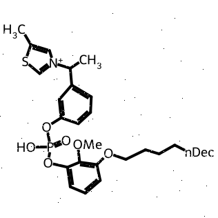 CCCCCCCCCCCCCCOc1cccc(OP(=O)(O)Oc2cccc(C(C)[n+]3csc(C)c3)c2)c1OC